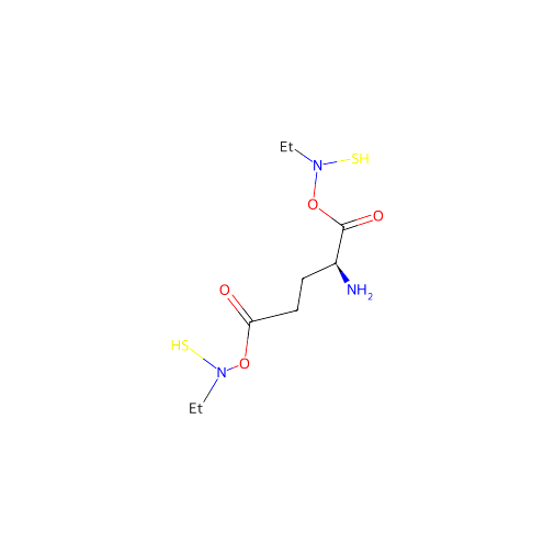 CCN(S)OC(=O)CC[C@H](N)C(=O)ON(S)CC